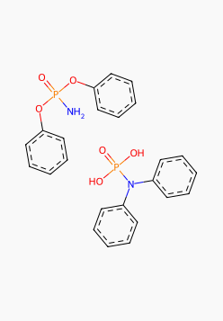 NP(=O)(Oc1ccccc1)Oc1ccccc1.O=P(O)(O)N(c1ccccc1)c1ccccc1